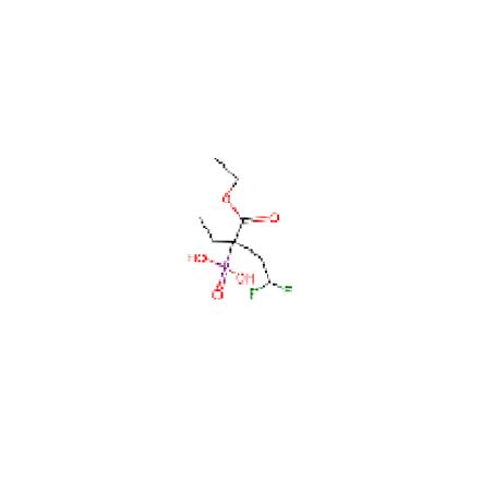 CCOC(=O)C(CC)(CC(F)F)P(=O)(O)O